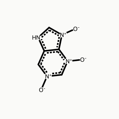 [O-][n+]1cc2[nH]c[n+]([O-])c2[n+]([O-])c1